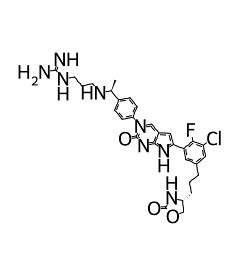 C[C@H](NCCCNC(=N)N)c1ccc(-n2cc3cc(-c4cc(CCC[C@@H]5COC(=O)N5)cc(Cl)c4F)[nH]c3nc2=O)cc1